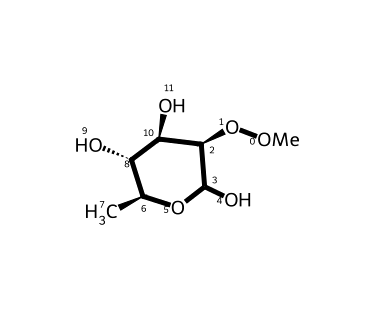 COO[C@H]1C(O)O[C@@H](C)[C@H](O)[C@H]1O